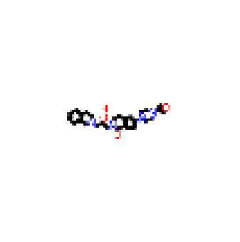 O=C1c2ccc(N3CCN(C4COC4)CC3)cc2CCN1CC(O)CN1CCc2ccccc2C1